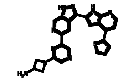 NC1CN(c2cncc(-c3cc4c(-c5cc6c(-c7cccs7)ccnc6[nH]5)n[nH]c4cn3)n2)C1